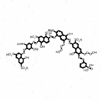 CNc1ccc2c(O)c(N=Nc3cc4c(O)c(N=Nc5cccc(P(=O)(O)O)c5)c(SOOO)cc4cc3S(=O)(=O)O)c(SOOO)cc2c1N=Nc1ccc2c(O)c(N=Nc3cc(NC(C)=O)c(N=Nc4cc(S(=O)(=O)O)cc5cc(S(=O)(=O)O)cc(O)c45)cc3OC)c(S(=O)(=O)O)cc2c1S(=O)(=O)O